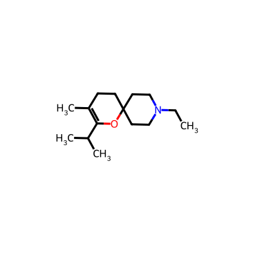 CCN1CCC2(CCC(C)=C(C(C)C)O2)CC1